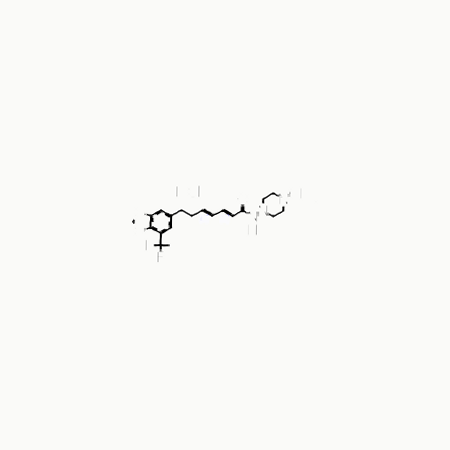 CN1CCN(NC(=O)/C=C/C=C/CCc2cc3c(c(C(F)(F)F)c2)OCO3)CC1.Cl